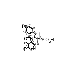 Cc1c(F)cncc1-n1c(C(C)NC(=O)O)nc2ccc(F)cc2c1=O